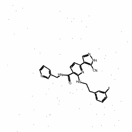 N#Cc1[nH]ncc1-c1ccc(C(=O)NCc2cccnc2)c(NCCc2cccc(F)c2)n1